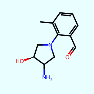 Cc1cccc(C=O)c1N1CC(N)[C@@H](O)C1